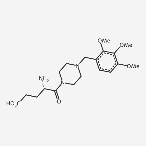 COc1ccc(CN2CCN(C(=O)[C@@H](N)CCC(=O)O)CC2)c(OC)c1OC